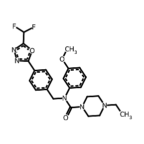 CCN1CCN(C(=O)N(Cc2ccc(-c3nnc(C(F)F)o3)cc2)c2cccc(OC)c2)CC1